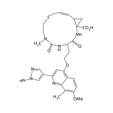 CCCn1cc(-c2cc(OCCC3NC(=O)N(C)CCCC/C=C\C4CC4(C(=O)O)NC3=O)c3ccc(OC)c(C)c3n2)cn1